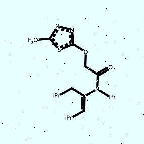 CC(C)C=C(CC(C)C)N(C(=O)COc1nnc(C(F)(F)F)s1)C(C)C